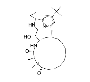 C[C@@H]1CCCCCCCCC(=O)N(C)[C@@H](C)C(=O)N[C@H]([C@H](O)CNC2(c3cc(C(C)(C)C)ccn3)CC2)C1